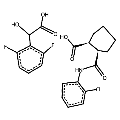 O=C(O)C(O)c1c(F)cccc1F.O=C(O)[C@H]1CCCC[C@H]1C(=O)Nc1ccccc1Cl